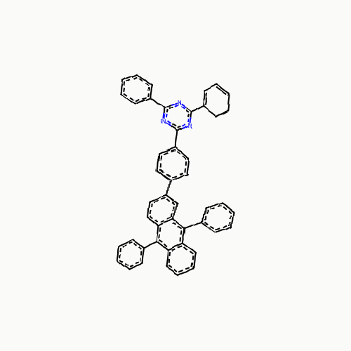 C1=CCCC(c2nc(-c3ccccc3)nc(-c3ccc(-c4ccc5c(-c6ccccc6)c6ccccc6c(-c6ccccc6)c5c4)cc3)n2)=C1